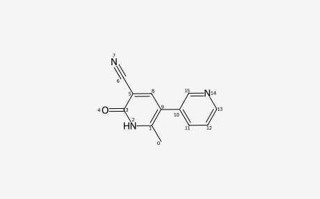 Cc1[nH]c(=O)c(C#N)cc1-c1cccnc1